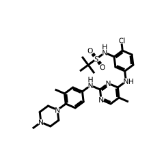 Cc1cc(Nc2ncc(C)c(Nc3ccc(Cl)c(NS(=O)(=O)C(C)(C)C)c3)n2)ccc1N1CCN(C)CC1